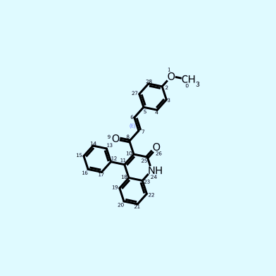 COc1ccc(/C=C/C(=O)c2c(-c3ccccc3)c3ccccc3[nH]c2=O)cc1